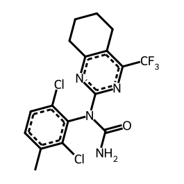 Cc1ccc(Cl)c(N(C(N)=O)c2nc3c(c(C(F)(F)F)n2)CCCC3)c1Cl